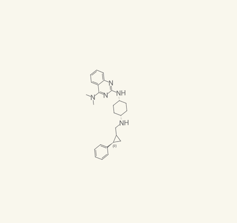 CN(C)c1nc(N[C@H]2CC[C@@H](NCC3C[C@H]3c3ccccc3)CC2)nc2ccccc12